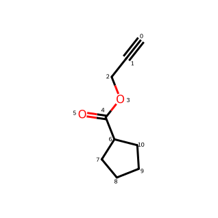 C#CCOC(=O)C1CCCC1